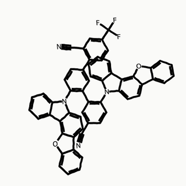 N#Cc1ccc(-n2c3ccccc3c3c4oc5ccccc5c4ccc32)c(-c2cc(-c3ccc(C(F)(F)F)cc3C#N)ccc2-n2c3ccccc3c3c4oc5ccccc5c4ccc32)c1